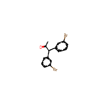 CC(=O)C(c1cccc(Br)c1)c1cccc(Br)c1